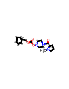 CN1CCC[C@H]1C(=O)N1CCN(OC(=O)OCc2ccccc2)CC1